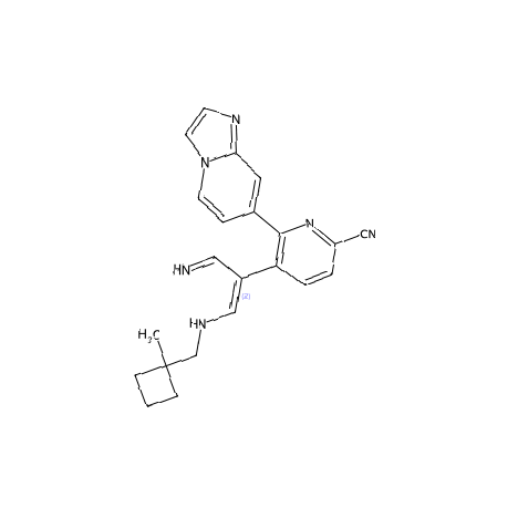 CC1(CN/C=C(\C=N)c2ccc(C#N)nc2-c2ccn3ccnc3c2)CCC1